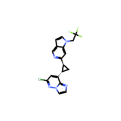 FC(F)(F)Cn1ccc2cnc([C@H]3C[C@@H]3c3cc(Cl)nn4ccnc34)cc21